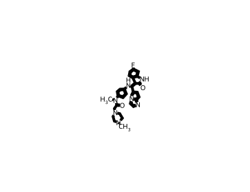 CN1CCN(CC(=O)N(C)c2ccc(NC(=C3C(=O)Nc4cc(F)ccc43)c3ccc4nccn4c3)cc2)CC1